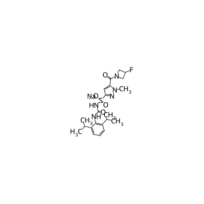 CC(C)c1cccc(C(C)C)c1NC(=O)NS(=O)(=O)c1cc(C(=O)N2CC(F)C2)n(C)n1.[Na]